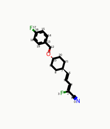 N#CC(F)=CC=C[C@H]1CC[C@H](OCc2ccc(F)cc2)CC1